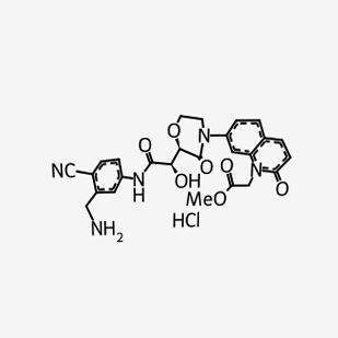 COC(=O)Cn1c(=O)ccc2ccc(N3CCO[C@H]([C@@H](O)C(=O)Nc4ccc(C#N)c(CN)c4)C3=O)cc21.Cl